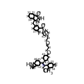 CC/C(=C(/c1ccc(OCCCOCCN2CCN(C(=O)c3cc(Cc4n[nH]c(=O)c5ccccc45)ccc3F)CC2)cc1)c1ccc2[nH]ncc2c1)c1ccc(F)cc1Cl